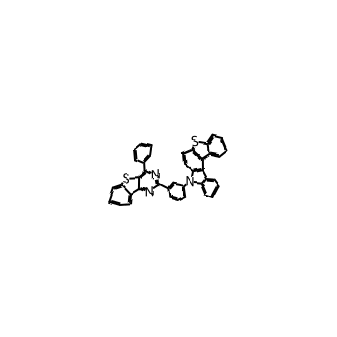 c1ccc(-c2nc(-c3cccc(-n4c5ccccc5c5c6c(ccc54)sc4ccccc46)c3)nc3c2sc2ccccc23)cc1